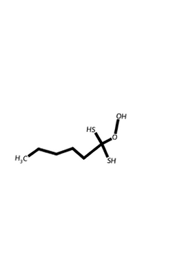 CCCCCC(S)(S)OO